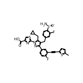 Cc1ccc(C#Cc2cc(-c3nn(-c4nc(C(=O)O)cs4)c(CC4CC4)c3Cc3ccc([S+](N)[O-])c(F)c3)ccc2F)s1